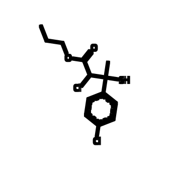 CCCOC(=O)C(Cl)C(C)(S)c1ccc(Cl)cc1